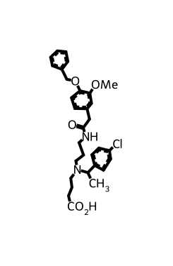 COc1cc(CC(=O)NCCCN(CCCC(=O)O)C(C)c2ccc(Cl)cc2)ccc1OCc1ccccc1